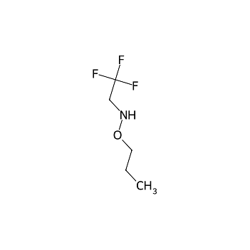 CCCONCC(F)(F)F